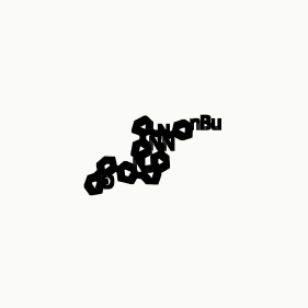 CCCCc1ccc(-c2nc(-c3ccccc3)nc(-c3ccccc3-c3ccc(-n4c5ccccc5c5ccc(-c6cccc7c6oc6ccccc67)cc54)cc3)n2)cc1